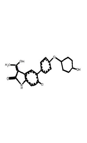 C/C(O)=C1\C(=O)Nc2cc(Cl)c(-c3ccc(OC4CCC(O)CC4)cc3)cc21